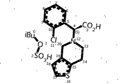 CCC(C)OS(=O)(=O)O.O=C(O)[C@H](c1ccccc1Cl)N1CCc2sccc2C1